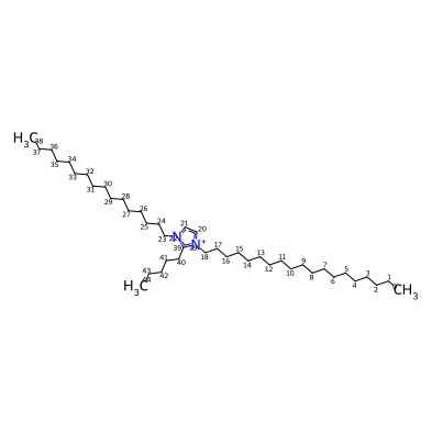 CCCCCCCCCCCCCCCCCCC[n+]1ccn(CCCCCCCCCCCCCCCC)c1CCCCC